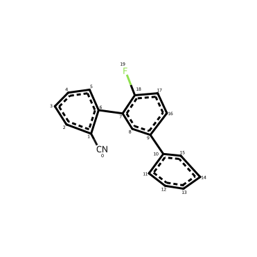 N#Cc1ccccc1-c1cc(-c2ccccc2)ccc1F